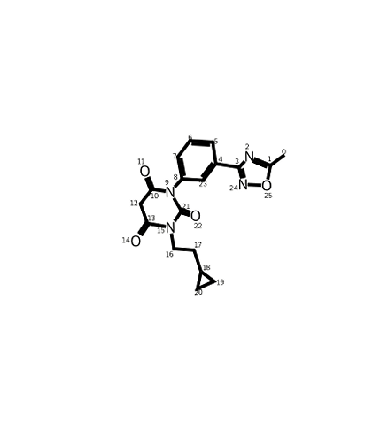 Cc1nc(-c2cccc(N3C(=O)CC(=O)N(CCC4CC4)C3=O)c2)no1